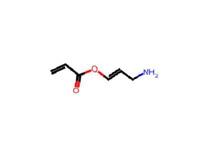 C=CC(=O)OC=CCN